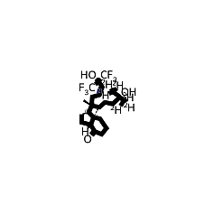 [2H]C([2H])([2H])C(O)(CCC[C@@](C)(C/C=C\C(O)(C(F)(F)F)C(F)(F)F)[C@H]1CC[C@H]2C(=O)CCC[C@]12C)C([2H])([2H])[2H]